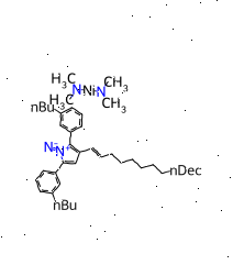 CCCCCCCCCCCCCCCCC=CC1=C(c2cccc(CCCC)c2)[N+](=[N-])C(c2cccc(CCCC)c2)=C1.C[N](C)[Ni][N](C)C